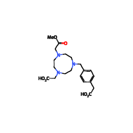 COC(=O)CN1CCN(CC(=O)O)CCN(Cc2ccc(CC(=O)O)cc2)CC1